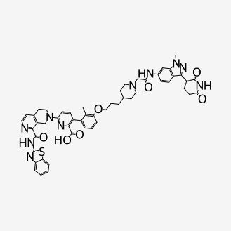 Cc1c(OCCCC2CCN(CC(=O)Nc3ccc4c(C5CCC(=O)NC5=O)nn(C)c4c3)CC2)cccc1-c1ccc(N2CCc3ccnc(C(=O)Nc4nc5ccccc5s4)c3C2)nc1C(=O)O